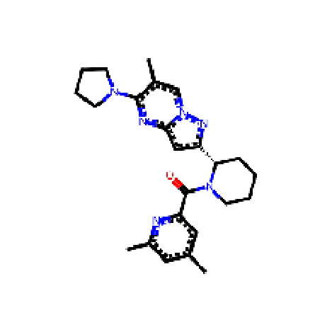 Cc1cc(C)nc(C(=O)N2CCCC[C@H]2c2cc3nc(N4CCCC4)c(C)cn3n2)c1